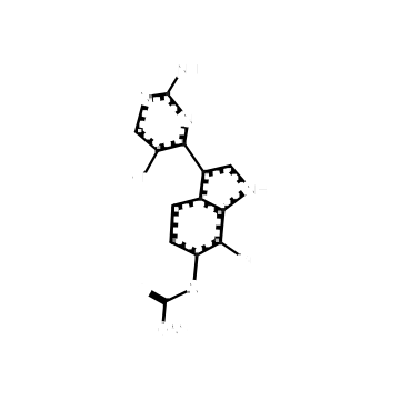 COC(=O)Nc1ccc2c(-c3nc(N)ncc3Cl)c[nH]c2c1Br